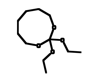 CCOC1(OCC)OCCCCCCO1